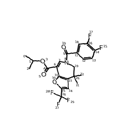 CC(C)OC(=O)C1=CN(C(=O)c2ccc(F)c(F)c2)CC(C)(C)c2cc(C(F)(F)F)oc21